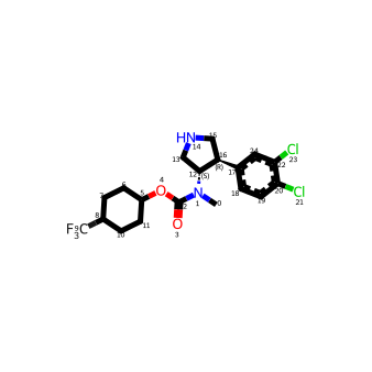 CN(C(=O)OC1CCC(C(F)(F)F)CC1)[C@@H]1CNC[C@H]1c1ccc(Cl)c(Cl)c1